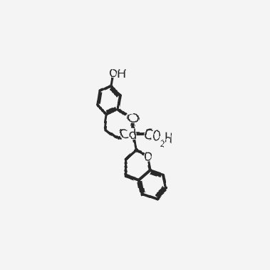 O=[C](O)[Cd]1([CH]2CCc3ccccc3O2)[CH2]Cc2ccc(O)cc2[O]1